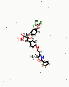 Cc1oc(-c2cccs2)nc1CCOc1ccc(CC(C)(Oc2ccc(OC(F)(F)F)cc2)C(=O)O)cc1